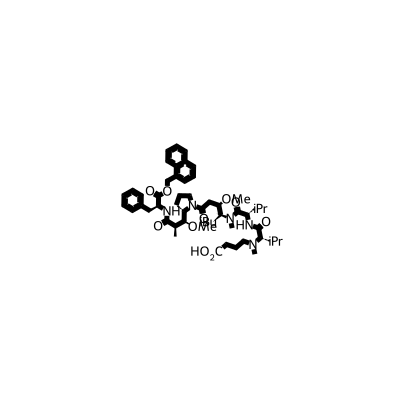 CC[C@H](C)[C@@H]([C@@H](CC(=O)N1CCC[C@H]1[C@H](OC)[C@@H](C)C(=O)N[C@@H](Cc1ccccc1)C(=O)OCc1cccc2ccccc12)OC)N(C)C(=O)[C@@H](NC(=O)[C@H](C(C)C)N(C)CCCC(=O)O)C(C)C